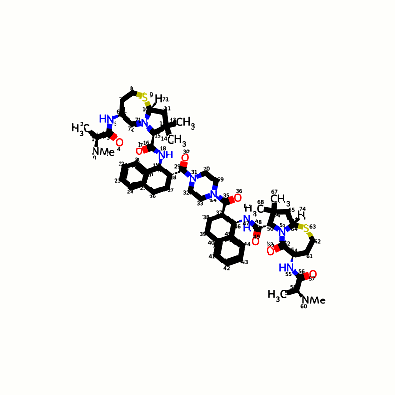 CN[C@@H](C)C(=O)N[C@H]1CCS[C@H]2CC(C)(C)[C@@H](C(=O)N[C@@H]3c4ccccc4CC[C@H]3C(=O)N3CCN(C(=O)[C@@H]4CCc5ccccc5[C@H]4NC(=O)[C@H]4N5C(=O)[C@@H](NC(=O)[C@H](C)NC)CCS[C@H]5CC4(C)C)CC3)N2C1